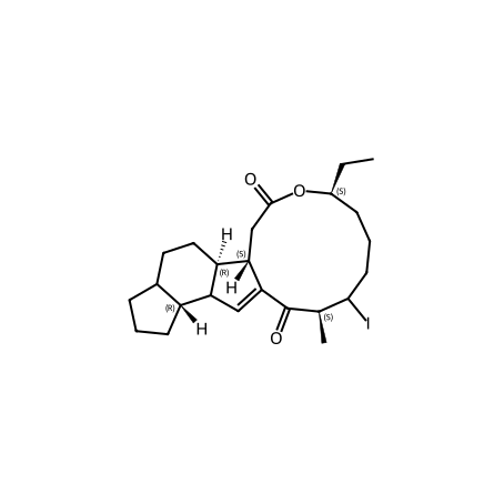 CC[C@H]1CCCC(I)[C@@H](C)C(=O)C2=CC3[C@@H]4CCCC4CC[C@H]3[C@@H]2CC(=O)O1